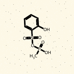 CP(=O)(O)OS(=O)(=O)c1ccccc1O